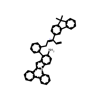 C=C/C(=C\Cc1ccccc1-c1c(N)ccc2c1cc1c3ccccc3c3ccccc3n21)c1ccc2c(c1)-c1ccccc1C2(C)C